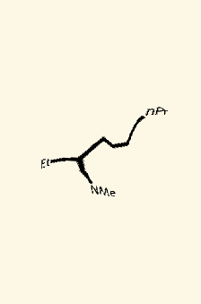 [CH2]CC(CCCCC)NC